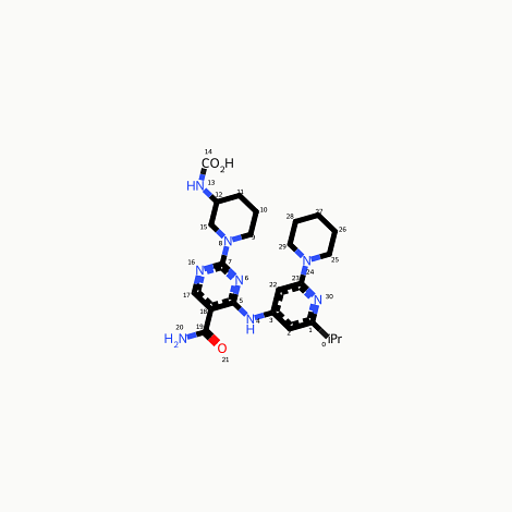 CC(C)c1cc(Nc2nc(N3CCCC(NC(=O)O)C3)ncc2C(N)=O)cc(N2CCCCC2)n1